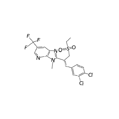 CCS(=O)(=O)C/C(=C\c1ccc(Cl)c(Cl)c1)c1nc2cc(C(F)(F)F)cnc2n1C